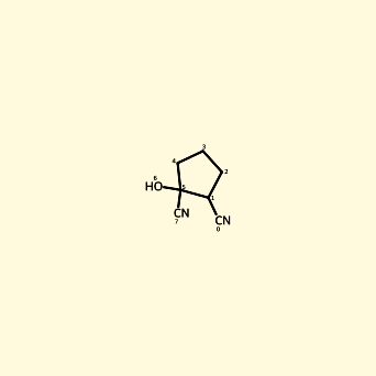 N#CC1CCCC1(O)C#N